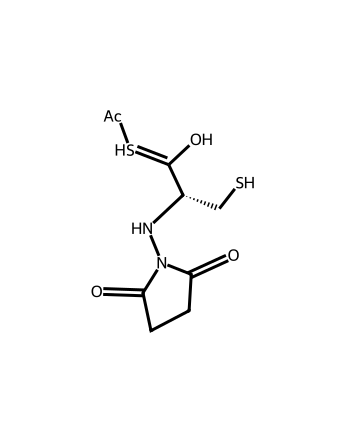 CC(=O)[SH]=C(O)[C@H](CS)NN1C(=O)CCC1=O